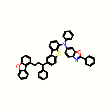 c1ccc(-c2nc3ccc(N(c4ccccc4)c4cccc5c4sc4ccc(C(CCc6cccc7oc8ccccc8c67)c6ccccc6)cc45)cc3o2)cc1